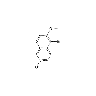 COc1ccc2c[n+]([O-])ccc2c1Br